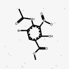 COC(=O)c1cc(Br)c(NC(C)=O)c([N+](=O)[O-])c1O